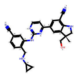 C[C@]1(CO)CNc2c(C#N)cc(-c3ccnc(Nc4cc(C#N)ccc4CNC4CC4)n3)cc21